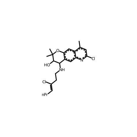 CCCC=C(Cl)CCNC1c2cc3nc(Cl)cc(C)c3cc2OC(C)(C)C1O